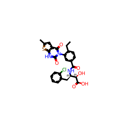 CCc1ccc(C(=O)N[C@H](Cc2ccccc2Cl)[C@@H](O)C(=O)O)cc1-n1c(=O)[nH]c2sc(C)cc2c1=O